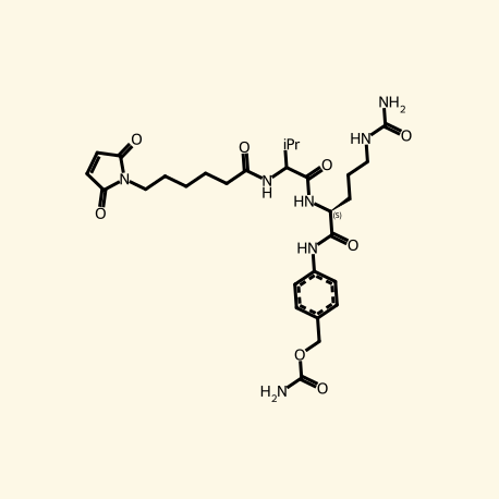 CC(C)C(NC(=O)CCCCCN1C(=O)C=CC1=O)C(=O)N[C@@H](CCCNC(N)=O)C(=O)Nc1ccc(COC(N)=O)cc1